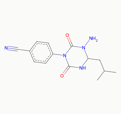 CC(C)CC1NC(=O)N(c2ccc(C#N)cc2)C(=O)N1N